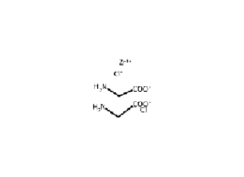 NCC(=O)[O-].NCC(=O)[O-].[Cl-].[Cl-].[Zr+4]